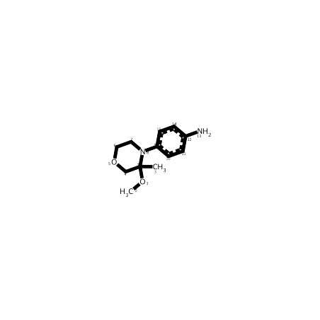 COC1(C)COCCN1c1ccc(N)cc1